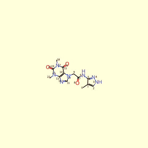 Cc1c[nH]nc1NC(=O)Cn1cnc2c1c(=O)n(C)c(=O)n2C